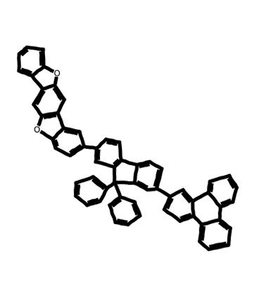 c1ccc(C2(c3ccccc3)c3cc(-c4ccc5oc6cc7c(cc6c5c4)oc4ccccc47)ccc3-c3ccc(-c4ccc5c6ccccc6c6ccccc6c5c4)cc32)cc1